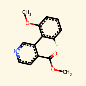 COC(=O)c1ccncc1-c1c(F)cccc1OC